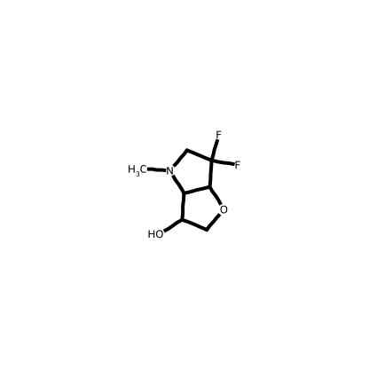 CN1CC(F)(F)C2OCC(O)C21